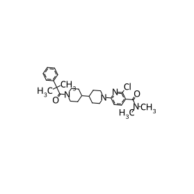 CN(C)C(=O)c1ccc(N2CCC(C3CCN(C(=O)C(C)(C)c4ccccc4)CC3)CC2)nc1Cl